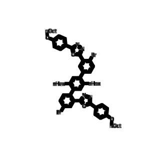 CCCCCCCCOc1ccc(-c2nnc(-c3cc(-c4cc(CCCCCC)c(-c5ccc(Br)cc5-c5nnc(-c6ccc(OCCCCCCCC)cc6)o5)cc4CCCCCC)ccc3Br)o2)cc1